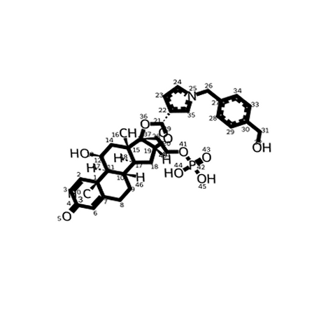 C[C@]12C=CC(=O)C=C1CC[C@@H]1[C@@H]2[C@@H](O)C[C@@]2(C)[C@H]1C[C@H]1O[C@@H](c3ccn(Cc4ccc(CO)cc4)c3)O[C@]12C(=O)COP(=O)(O)O